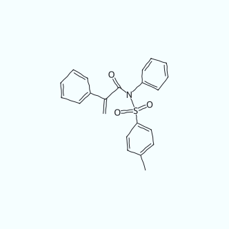 C=C(C(=O)N(c1ccccc1)S(=O)(=O)c1ccc(C)cc1)c1ccccc1